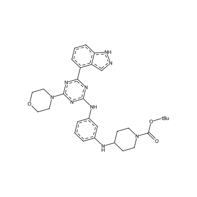 CC(C)(C)OC(=O)N1CCC(Nc2cccc(Nc3nc(-c4cccc5[nH]ncc45)nc(N4CCOCC4)n3)c2)CC1